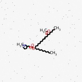 CCCCCCCCCCC(CCCCCCCC=CCC(CCCCCC)OC(C)=O)OC(=O)OCC1CCCN(C)C1